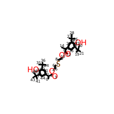 CC(C(=O)OC=CSC=COC(=O)C(C)c1cc(C(C)(C)C)c(O)c(C(C)(C)C)c1)c1cc(C(C)(C)C)c(O)c(C(C)(C)C)c1